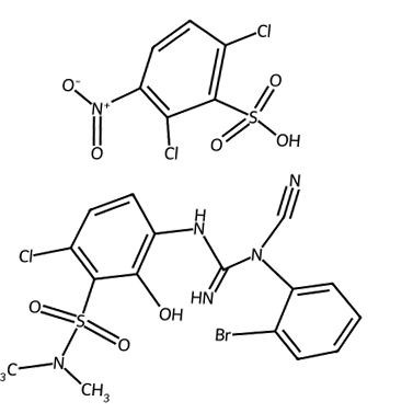 CN(C)S(=O)(=O)c1c(Cl)ccc(NC(=N)N(C#N)c2ccccc2Br)c1O.O=[N+]([O-])c1ccc(Cl)c(S(=O)(=O)O)c1Cl